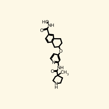 CC1(C(=O)Nc2cc(OC3CCc4cc(C(=O)NO)ccc4C3)ccn2)CCNCC1